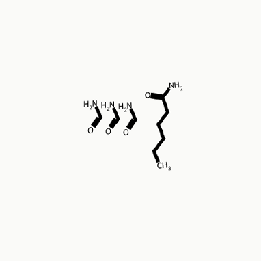 CCCCCC(N)=O.NC=O.NC=O.NC=O